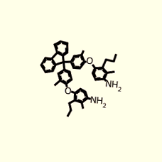 CCCc1c(Oc2ccc(C3(c4ccc(Oc5ccc(N)c(C)c5CCC)c(C)c4)c4ccccc4-c4ccccc43)cc2C)ccc(N)c1C